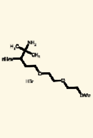 Br.CCCCCCC(CCOCCOCCOC)C(C)(C)N